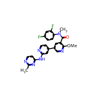 COc1ncc(-c2ccnc(Nc3ccnc(C)n3)c2)cc1C(=O)N(C)c1ccc(F)cc1F